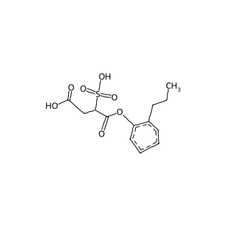 CCCc1ccccc1OC(=O)C(CC(=O)O)S(=O)(=O)O